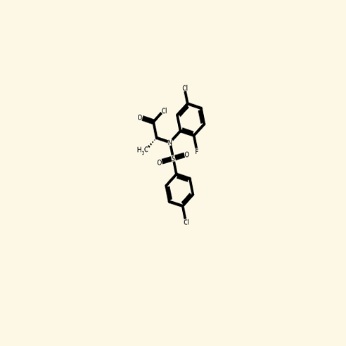 C[C@H](C(=O)Cl)N(c1cc(Cl)ccc1F)S(=O)(=O)c1ccc(Cl)cc1